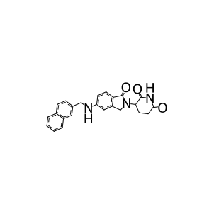 O=C1CCC(N2Cc3cc(NCc4ccc5ccccc5c4)ccc3C2=O)C(=O)N1